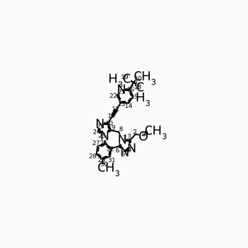 COCc1nnc2n1Cc1c(C#Cc3ccc(C(C)(C)C)nc3)ncn1-c1ccc(C)cc1-2